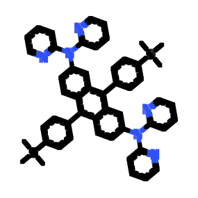 C[Si](C)(C)c1ccc(-c2c3ccc(N(c4ccccn4)c4ccccn4)cc3c(-c3ccc([Si](C)(C)C)cc3)c3cc(N(c4ccccn4)c4ccccn4)ccc23)cc1